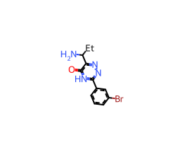 CCC(N)c1nnc(-c2cccc(Br)c2)[nH]c1=O